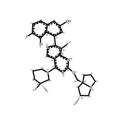 CCc1c(F)ccc2cc(O)cc(-c3ncc4c(N5CCC[C@](C)(F)C5)nc(OC[C@@]56CCCN5C[C@H](F)C6)nc4c3F)c12